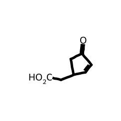 O=C(O)CC1C=CC(=O)C1